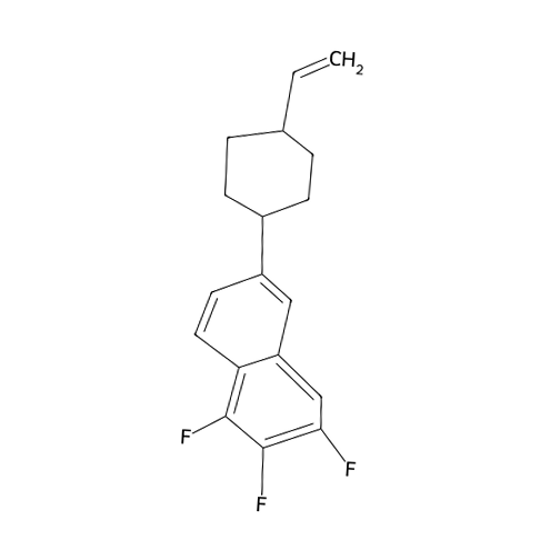 C=CC1CCC(c2ccc3c(F)c(F)c(F)cc3c2)CC1